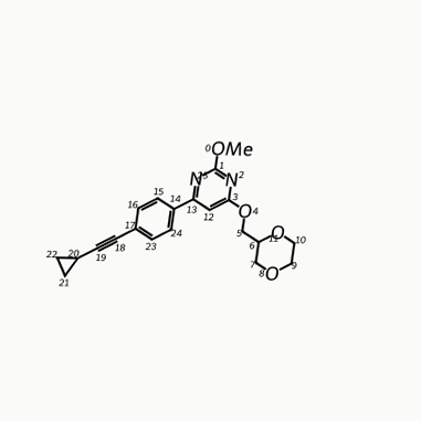 COc1nc(OCC2COCCO2)cc(-c2ccc(C#CC3CC3)cc2)n1